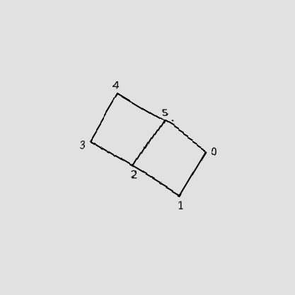 C1CC2CC[C]12